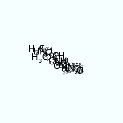 CNc1cccc(-c2cccc(NC(=O)c3cc(C4CC4)c(CNC4CCCOCC4)cn3)c2C)c1C